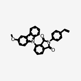 C=Cc1ccc(N2C(=O)c3cccc(-n4c5ccccc5c5cc(OC)ccc54)c3C2=O)cc1